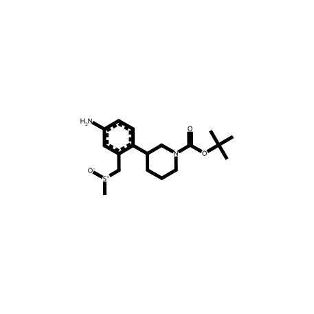 C[S+]([O-])Cc1cc(N)ccc1C1CCCN(C(=O)OC(C)(C)C)C1